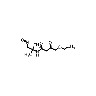 CCOCC(=O)CC(=O)NC(C)(C)CN=O